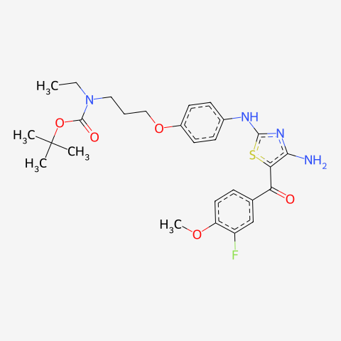 CCN(CCCOc1ccc(Nc2nc(N)c(C(=O)c3ccc(OC)c(F)c3)s2)cc1)C(=O)OC(C)(C)C